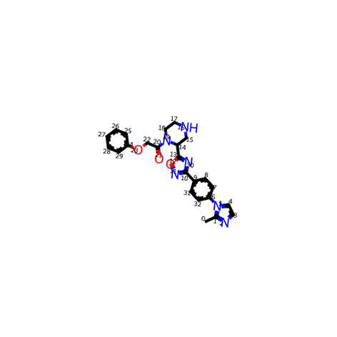 Cc1nccn1-c1ccc(-c2noc(C3CNCCN3C(=O)COc3ccccc3)n2)cc1